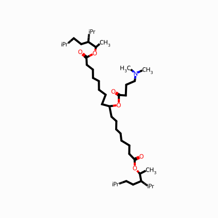 CC(C)CCC(C(C)C)C(C)OC(=O)CCCCCCCC(CCCCCCCC(=O)OC(C)C(CCC(C)C)C(C)C)OC(=O)CCCN(C)C